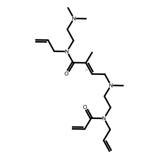 C=CCN(CCN(C)C/C=C(\C)C(=O)N(CC=C)CCN(C)C)C(=O)C=C